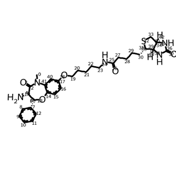 CN1C(=O)[C@@H](N)[C@@H](c2ccccc2)Oc2ccc(OCCCCCNC(=O)CCCC[C@@H]3SC[C@@H]4NC(=O)N[C@@H]43)cc21